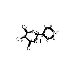 O=C1N=C(c2ccncc2)NC(=O)C1Cl